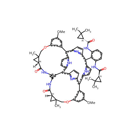 COc1cc2cc(c1)-c1c3nc(c4c5ccc([nH]5)c(c5nc(c(-c6c(NC(=O)[C@H]7CC7(C)C)cccc6NC(=O)[C@@H]6CC6(C)C)c6ccc1[nH]6)C=C5)-c1cc(OC)cc(c1)OCC1(C)C[C@H]1C(=O)Nc1cccc(c1-4)NC(=O)[C@H]1CC1(C)CO2)C=C3